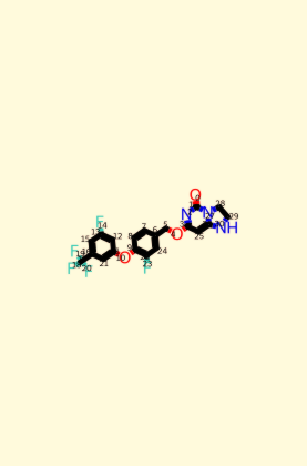 O=c1nc(OCc2ccc(Oc3cc(F)cc(C(F)(F)F)c3)c(F)c2)cc2n1CCN2